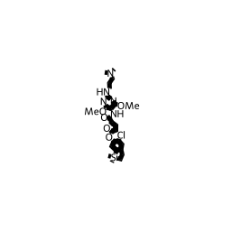 COc1nc(NCCCN(C)C)nc(OC)c1NC(=O)c1ccc(Oc2cc3c(cc2Cl)CC[Si]3(C)C)o1